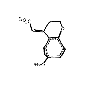 CCOC(=O)C=C1CCOc2ccc(OC)cc21